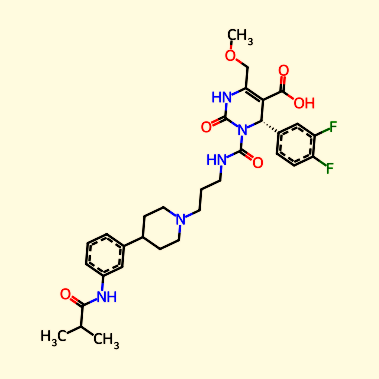 COCC1=C(C(=O)O)[C@H](c2ccc(F)c(F)c2)N(C(=O)NCCCN2CCC(c3cccc(NC(=O)C(C)C)c3)CC2)C(=O)N1